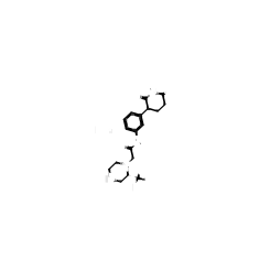 Br.O=C1CCC(c2cccc(NC(=O)CN3CCNC[C@@H]3C(F)(F)F)c2)C(=O)N1